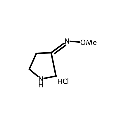 CON=C1CCNC1.Cl